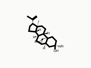 C=C(C)[C@H]1CC[C@H]2[C@@H]3CC[C@@H]4C[C@@](O)(CCC)CC[C@]4(COC)[C@H]3CC[C@]12C